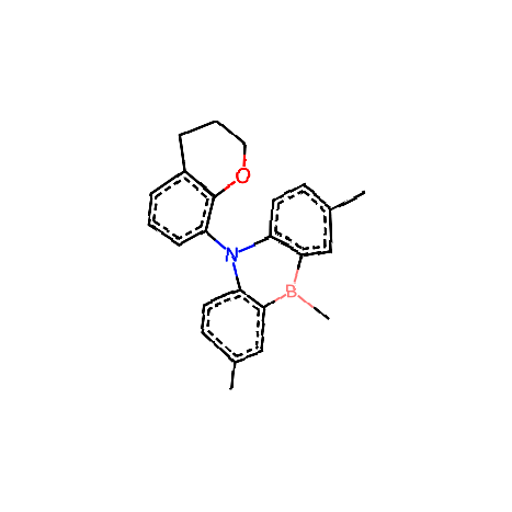 CB1c2cc(C)ccc2N(c2cccc3c2OCCC3)c2ccc(C)cc21